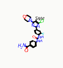 CSc1c(Cl)nc(-c2ccc(NC(=O)Nc3ccc(C(N)=O)cc3)c(F)c2)nc1N1CCOCC1